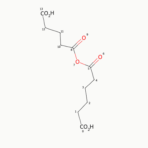 O=C(O)CCCCC(=O)OC(=O)CCCC(=O)O